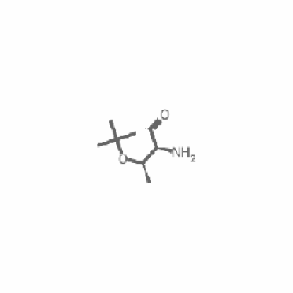 C[C@@H](OC(C)(C)C)[C@H](N)[C]=O